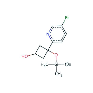 CC(C)(C)[Si](C)(C)OC1(c2ccc(Br)cn2)CC(O)C1